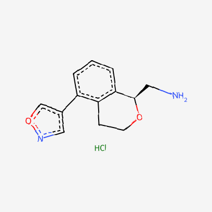 Cl.NC[C@H]1OCCc2c(-c3cnoc3)cccc21